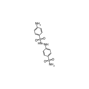 Nc1ccc(S(=O)(=O)NNc2ccc(S(N)(=O)=O)cc2)cc1